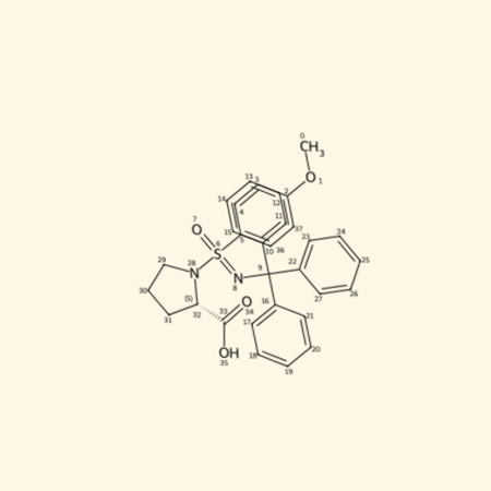 COc1ccc(S(=O)(=NC(c2ccccc2)(c2ccccc2)c2ccccc2)N2CCC[C@H]2C(=O)O)cc1